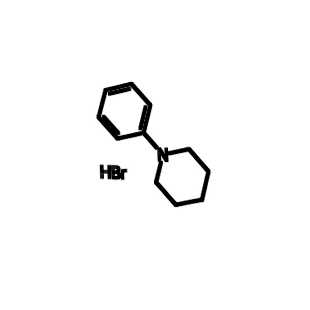 Br.c1ccc(N2CCCCC2)cc1